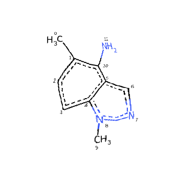 Cc1ccc2c(cnn2C)c1N